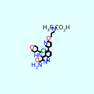 CC(Nc1c(C(N)=O)nnc2ccc(-c3ccc(OCCCN(C)C(=O)O)nc3)cc12)C1CCOCC1